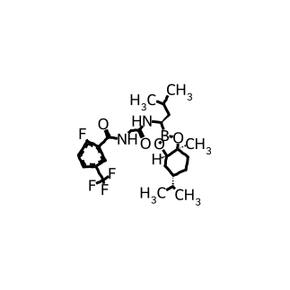 CC(C)C[C@H](NC(=O)CNC(=O)c1cc(C(F)(F)F)ccc1F)B1O[C@@H]2C[C@@H](C(C)C)CC[C@]2(C)O1